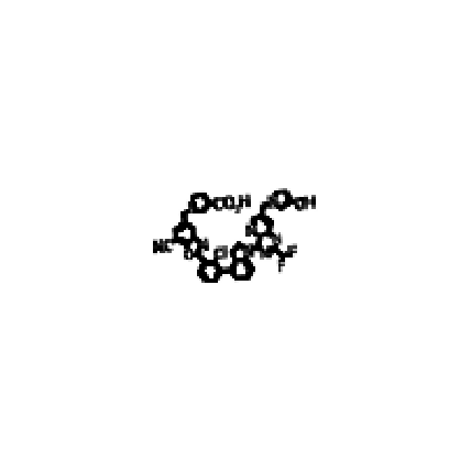 N#Cc1cc(CN2CCC(C(=O)O)C2)cc2nc(-c3cccc(-c4cccc5c4CCN5c4nc(C(F)F)nc5cc(CN6CCC(O)C6)cnc45)c3Cl)oc12